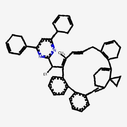 CCC(/C1=C(C)/C=C/CC2=C(CCC=C2)C2=CCC/C(=C\c3ccccc3-c3ccccc31)C21CC1)c1nc(C2=CC=CCC2)cc(C2C=CC=CC2)n1